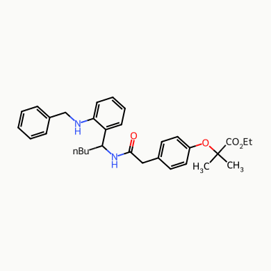 CCCCC(NC(=O)Cc1ccc(OC(C)(C)C(=O)OCC)cc1)c1ccccc1NCc1ccccc1